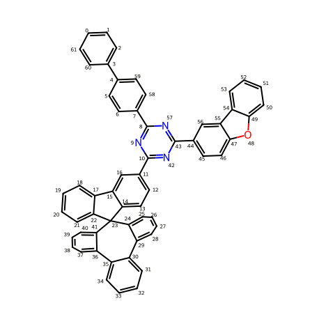 c1ccc(-c2ccc(-c3nc(-c4ccc5c(c4)-c4ccccc4C54c5ccccc5-c5ccccc5-c5ccccc54)nc(-c4ccc5oc6ccccc6c5c4)n3)cc2)cc1